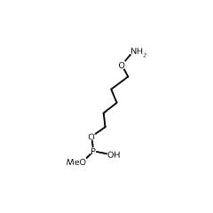 COP(O)OCCCCCON